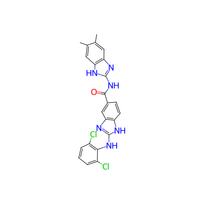 Cc1cc2nc(NC(=O)c3ccc4[nH]c(Nc5c(Cl)cccc5Cl)nc4c3)[nH]c2cc1C